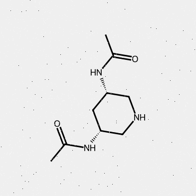 CC(=O)N[C@@H]1CNC[C@H](NC(C)=O)C1